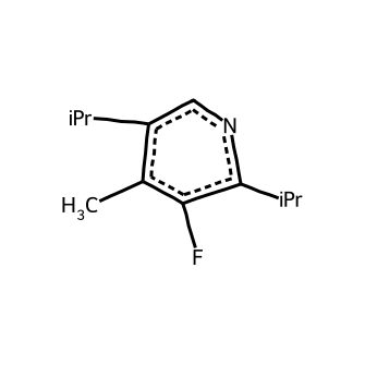 Cc1c(C(C)C)cnc(C(C)C)c1F